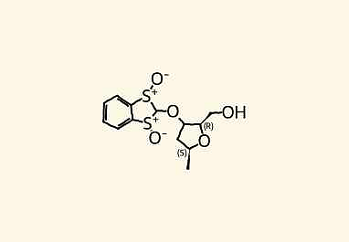 C[C@H]1CC(OC2[S+]([O-])c3ccccc3[S+]2[O-])[C@@H](CO)O1